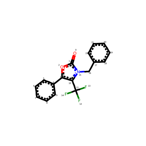 O=c1oc(-c2ccccc2)c(C(F)(F)F)n1Cc1ccccc1